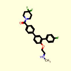 CNCCOc1ccc(-c2ccc(C(=O)N3CCC(F)(F)CC3)cc2)cc1-c1ccc(F)cc1